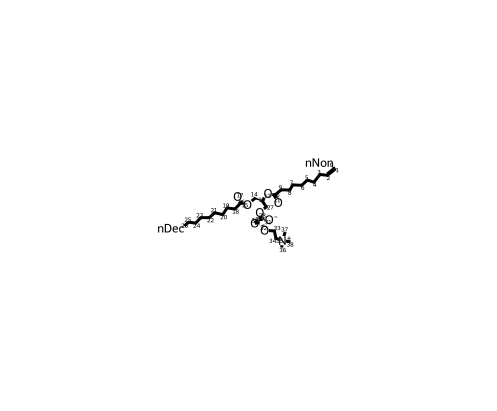 CCCCCCCCC/C=C\CCCCCCCC(=O)O[C@H](COC(=O)CCCCCCCCCCCCCCCCCC)COP(=O)([O-])OCC[N+](C)(C)C